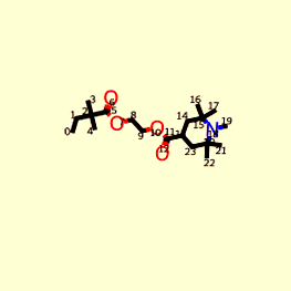 CCC(C)(C)C(=O)OCCOC(=O)C1CC(C)(C)N(C)C(C)(C)C1